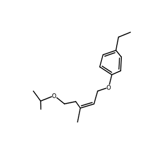 CCc1ccc(OCC=C(C)CCOC(C)C)cc1